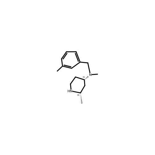 Cc1cccc(CN(C)[C@H]2CCN[C@@H](C)C2)c1